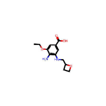 CCOc1cc(C(=O)O)cc(NCC2CCO2)c1N